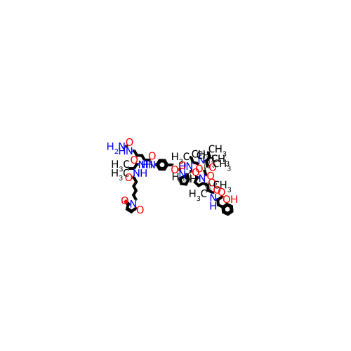 CC[C@H](C)[C@@H]([C@@H](CC(=O)N1CCCC1[C@H](OC)[C@@H](C)C(=O)NC(Cc1ccccc1)C(=O)O)OC)N(C)C(=O)C(NC(=O)[C@@H]1[C@H]2CC[C@H](C2)N1C(=O)OCc1ccc(NC(=O)C(CCCNC(N)=O)NC(=O)C(NC(=O)CCCCCN2C(=O)C=CC2=O)C(C)C)cc1)C(C)C